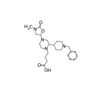 CN1CC(N2CCN(CCCC(=O)O)C(C3CCN(Cc4ccccc4)CC3)C2)OC1=O